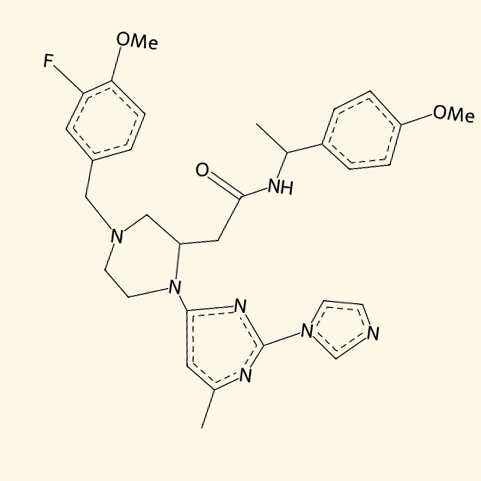 COc1ccc(C(C)NC(=O)CC2CN(Cc3ccc(OC)c(F)c3)CCN2c2cc(C)nc(-n3ccnc3)n2)cc1